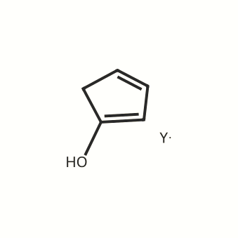 OC1=CC=CC1.[Y]